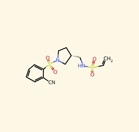 C=CS(=O)(=O)NC[C@H]1CCN(S(=O)(=O)c2ccccc2C#N)C1